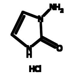 Cl.Nn1cc[nH]c1=O